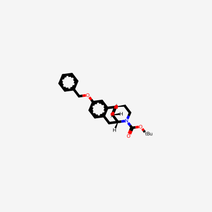 CC(C)(C)OC(=O)N1CC[C@]23CCCC[C@H]2[C@H]1Cc1ccc(OCc2ccccc2)cc13